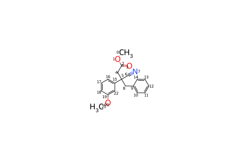 COC(=O)CC(C#N)(Cc1ccccc1)c1cccc(OC)c1